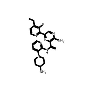 C=C(Nc1ncccc1N1CCC(N)CC1)c1nc(-c2nccc(CC)c2F)cnc1N